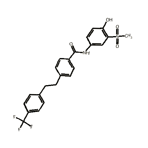 CS(=O)(=O)c1cc(NC(=O)c2ccc(CCc3ccc(C(F)(F)F)cc3)cc2)ccc1O